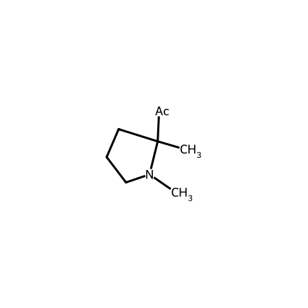 CC(=O)C1(C)CCCN1C